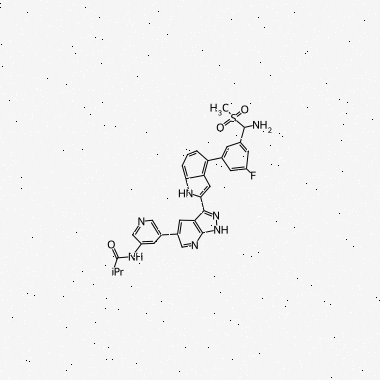 CC(C)C(=O)Nc1cncc(-c2cnc3[nH]nc(-c4cc5c(-c6cc(F)cc(C(N)S(C)(=O)=O)c6)cccc5[nH]4)c3c2)c1